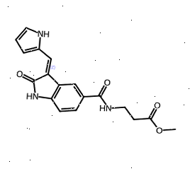 COC(=O)CCNC(=O)c1ccc2c(c1)/C(=C/c1ccc[nH]1)C(=O)N2